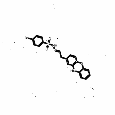 O=S(=O)(N/N=C/Cc1ccc2c(c1)Nc1ccccc1S2)c1ccc(Br)cc1